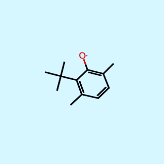 Cc1ccc(C)c(C(C)(C)C)c1[O]